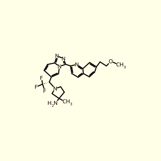 COCCc1ccc2ccc(-c3nnc4ccc([C@H](N5CCC(C)(N)C5)C(F)(F)F)cn34)nc2c1